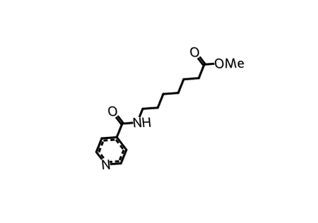 COC(=O)CCCCCCNC(=O)c1ccncc1